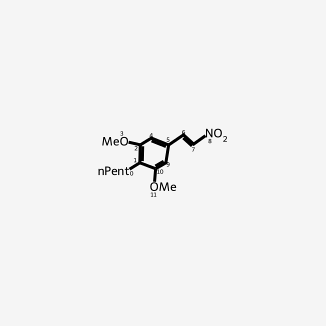 CCCCCc1c(OC)cc(C=C[N+](=O)[O-])cc1OC